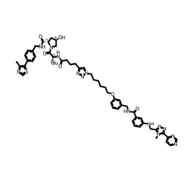 Cc1ncsc1-c1ccc(CNC(=O)[C@@H]2C[C@@H](O)CN2C(=O)[C@@H](NC(=O)CCCc2cn(CCCCCCOc3cccc(CNC(=O)c4cccc(NCc5nnc(-c6ccncn6)n5C)c4)c3)nn2)C(C)(C)C)cc1